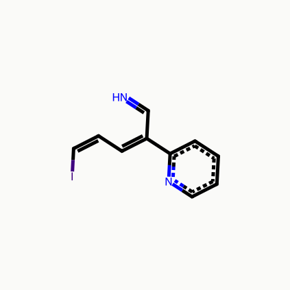 N=C/C(=C\C=C/I)c1ccccn1